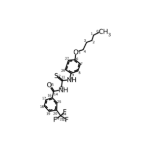 CCCCCOc1ccc(NC(=S)NC(=O)c2cccc(C(F)(F)F)c2)cc1